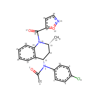 CCC(=O)N(c1ccc(Cl)cc1)[C@H]1C[C@@H](C)N(C(=O)c2ccno2)c2ccccc21